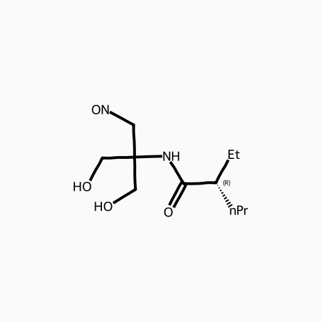 CCC[C@@H](CC)C(=O)NC(CO)(CO)CN=O